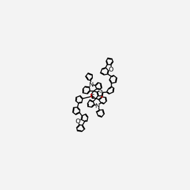 c1ccc(N2c3ccccc3C3(c4ccccc42)c2cc(-c4cccc(-c5cccc(-c6cccc7c6oc6ccccc67)c5)c4)sc2C2(c4ccccc4N(c4ccccc4)c4ccccc42)c2cc(-c4cccc(-c5cccc(-c6cccc7c6oc6ccccc67)c5)c4)sc23)cc1